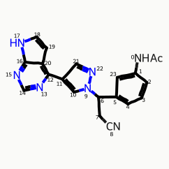 CC(=O)Nc1cccc(C(CC#N)n2cc(-c3ncnc4[nH]ccc34)cn2)c1